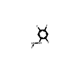 FNNc1cc(F)c(F)cc1F